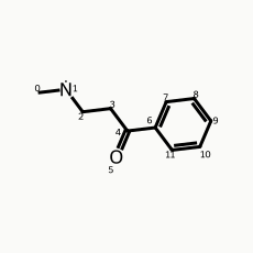 C[N]CCC(=O)c1ccccc1